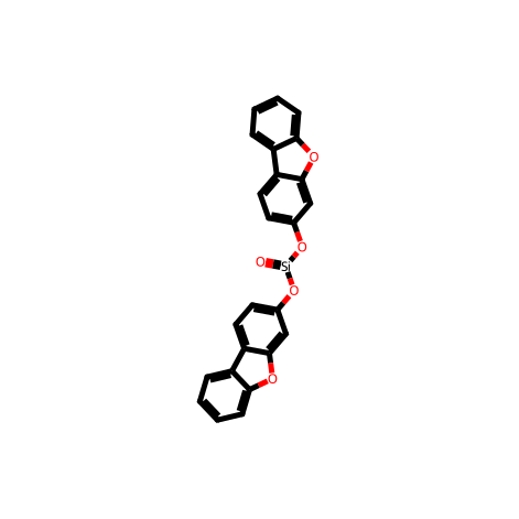 O=[Si](Oc1ccc2c(c1)oc1ccccc12)Oc1ccc2c(c1)oc1ccccc12